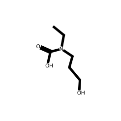 CCN(CCCO)C(=O)O